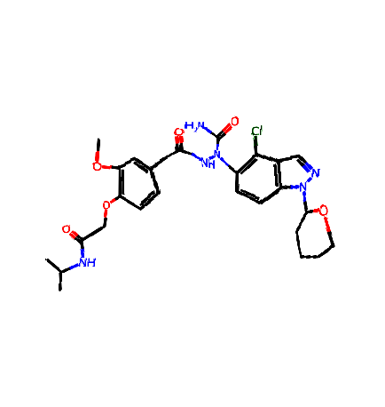 COc1cc(C(=O)NN(C(N)=O)c2ccc3c(cnn3C3CCCCO3)c2Cl)ccc1OCC(=O)NC(C)C